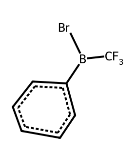 FC(F)(F)B(Br)c1ccccc1